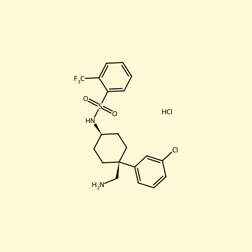 Cl.NC[C@]1(c2cccc(Cl)c2)CC[C@H](NS(=O)(=O)c2ccccc2C(F)(F)F)CC1